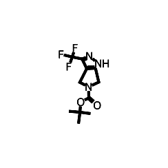 CC(C)(C)OC(=O)N1Cc2[nH]nc(C(F)(F)F)c2C1